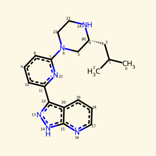 CC(C)C[C@@H]1CN(c2cccc(-c3n[nH]c4ncccc34)n2)CCN1